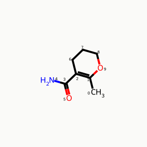 CC1=C(C(N)=O)CCCO1